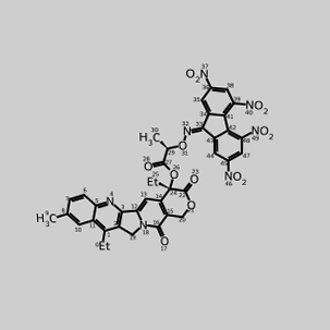 CCc1c2c(nc3ccc(C)cc13)-c1cc3c(c(=O)n1C2)COC(=O)[C@@]3(CC)OC(=O)[C@@H](C)ON=C1c2cc([N+](=O)[O-])cc([N+](=O)[O-])c2-c2c1cc([N+](=O)[O-])cc2[N+](=O)[O-]